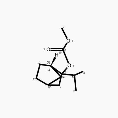 COC(=O)OC1(C(C)C)CC2CC[C@H]1C2